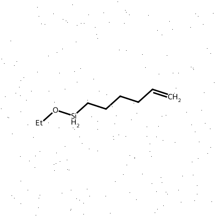 C=CCCCC[SiH2]OCC